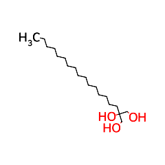 CCCCCCCCCCCCCCCCC(O)(CO)CO